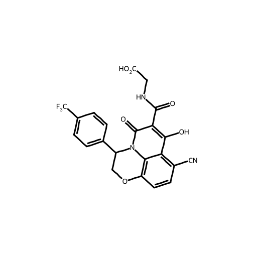 N#Cc1ccc2c3c1c(O)c(C(=O)NCC(=O)O)c(=O)n3C(c1ccc(C(F)(F)F)cc1)CO2